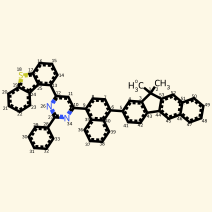 CC1(C)c2cc(-c3ccc(-c4cc(-c5cccc6sc7ccccc7c56)nc(-c5ccccc5)n4)c4ccccc34)ccc2-c2cc3ccccc3cc21